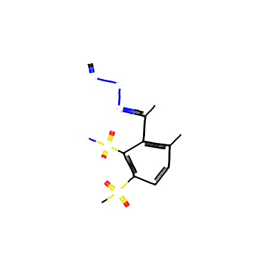 C=NN/N=C(\C)c1c(C)ccc(S(C)(=O)=O)c1S(N)(=O)=O